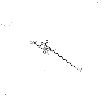 C[N+](C)(C)C[C@@H](CC(=O)[O-])OC(=O)CCCCCCCCCCCCCCC(=O)O